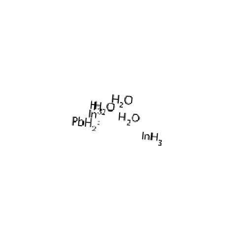 O.O.O.[InH3].[InH3].[PbH2]